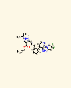 CCOC(=O)c1cn(C(C)C)nc1/C=C/Cc1ccccc1-c1ccnc(N2CCC(F)(F)C2)c1N